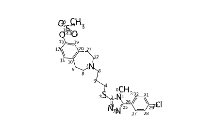 Cn1c(SCCCN2CCc3ccc(OS(C)(=O)=O)cc3CC2)nnc1-c1ccc(Cl)cc1